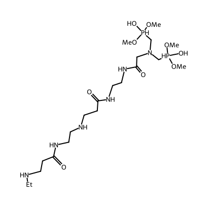 CCNCCC(=O)NCCNCCC(=O)NCCNC(=O)CN(C[PH](O)(OC)OC)C[PH](O)(OC)OC